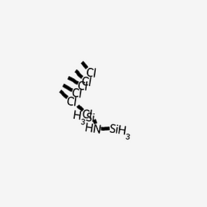 CCl.CCl.CCl.CCl.CCl.CCl.[SiH3]N[SiH3]